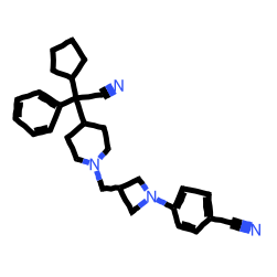 N#Cc1ccc(N2CC(CN3CCC(C(C#N)(c4ccccc4)C4CCCC4)CC3)C2)cc1